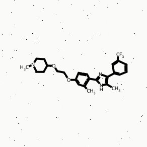 Cc1cc(OCCOC2CCN(C)CC2)ccc1-c1nc(-c2cccc(C(F)(F)F)c2)c(C)[nH]1